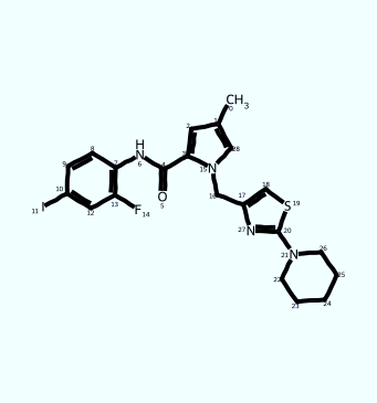 Cc1cc(C(=O)Nc2ccc(I)cc2F)n(Cc2csc(N3CCCCC3)n2)c1